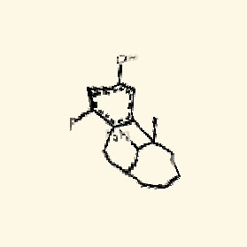 CC12CCCCC(Cc3c(F)cc(O)cc31)C2N